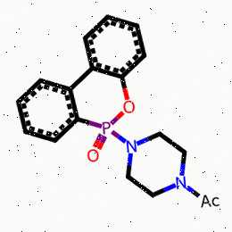 CC(=O)N1CCN(P2(=O)Oc3ccccc3-c3ccccc32)CC1